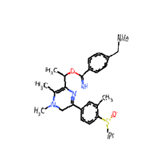 CNCc1ccc(C(=N)OC(C)C2=C(C)N(C)CC(c3ccc([S+]([O-])C(C)C)c(C)c3)=N2)cc1